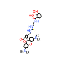 CCN(CC)c1ccc2c(c1)Oc1cc(N(CC)CC)ccc1C21OC(=O)c2ccc(CNC(=S)NCCNC(=O)c3ccccc3B(O)O)cc21